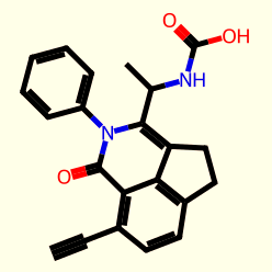 C#Cc1ccc2c3c(c(C(C)NC(=O)O)n(-c4ccccc4)c(=O)c13)CC2